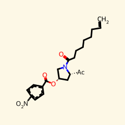 C=CCCCCCCC(=O)N1C[C@@H](OC(=O)c2ccc([N+](=O)[O-])cc2)C[C@H]1C(C)=O